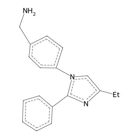 CCc1cn(-c2ccc(CN)cc2)c(-c2ccccc2)n1